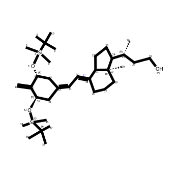 C=C1[C@H](O[Si](C)(C)C(C)(C)C)CC(=C/C=C2\CCC[C@@]3(C)C2CCC3[C@H](C)CCO)C[C@H]1O[Si](C)(C)C(C)(C)C